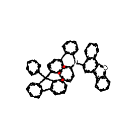 c1ccc(N(c2ccccc2-c2ccc(C3(c4ccccc4)c4ccccc4-c4ccccc43)cc2)c2cc3c4ccccc4oc3c3ccccc23)cc1